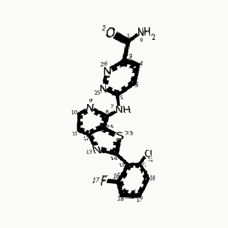 NC(=O)c1ccc(Nc2nccc3nc(-c4c(F)cccc4Cl)sc23)nn1